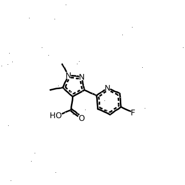 Cc1c(C(=O)O)c(-c2ccc(F)cn2)nn1C